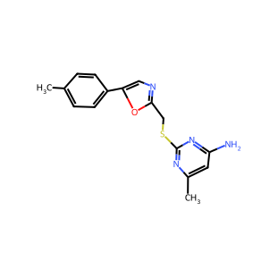 Cc1ccc(-c2cnc(CSc3nc(C)cc(N)n3)o2)cc1